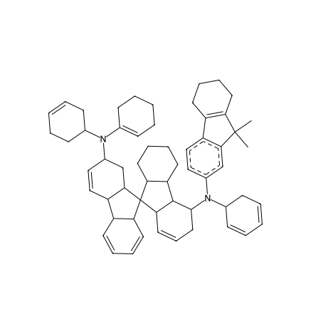 CC1(C)C2=C(CCCC2)c2ccc(N(C3C=CC=CC3)C3CC=CC4C3C3CCCCC3C43C4C=CC=CC4C4C=CC(N(C5=CCCCC5)C5CC=CCC5)CC43)cc21